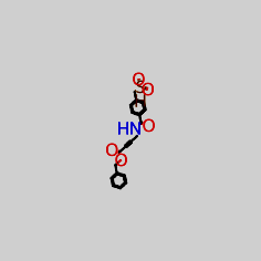 O=C(C#CCNC(=O)c1ccc(C[SH](=O)=O)cc1)OCc1ccccc1